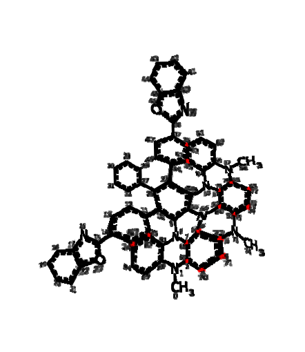 CN1c2ccccc2N(c2c(-c3ccc(-c4nc5ccccc5o4)cc3)c(-c3ccccc3)c(-c3ccc(-c4nc5ccccc5o4)cc3)c(N3c4ccccc4N(C)c4ccccc43)c2N2c3ccccc3N(C)c3ccccc32)c2ccccc21